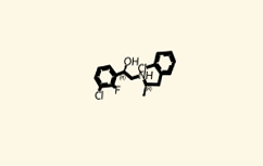 C[C@H](Cc1ccccc1Cl)NC[C@H](O)c1cccc(Cl)c1F